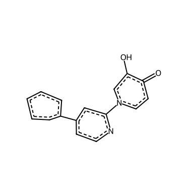 O=c1ccn(-c2cc(-c3ccccc3)ccn2)cc1O